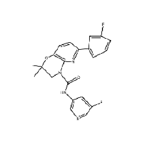 CC1(C)CN(C(=O)Nc2cncc(F)c2)c2nc(-c3cccc(F)c3)ccc2O1